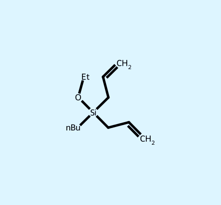 C=CC[Si](CC=C)(CCCC)OCC